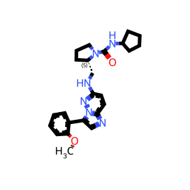 COc1ccccc1-c1cnc2ccc(NC[C@@H]3CCCN3C(=O)NC3CCCC3)nn12